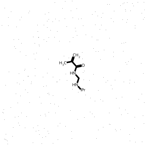 C=C(C)C(=O)NCNC(C)C